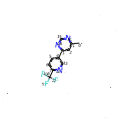 [CH2]c1cc(-c2ccc(C(F)(F)F)nc2)ncn1